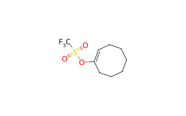 O=S(=O)(O/C1=C/CCCCCC1)C(F)(F)F